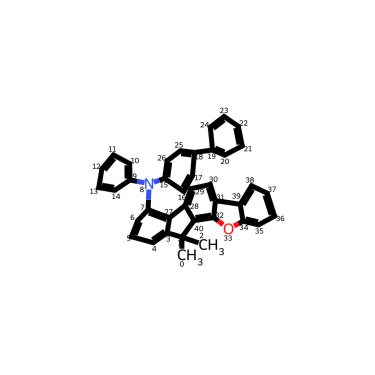 CC1(C)c2cccc(N(c3ccccc3)c3ccc(-c4ccccc4)cc3)c2-c2ccc3c(oc4ccccc43)c21